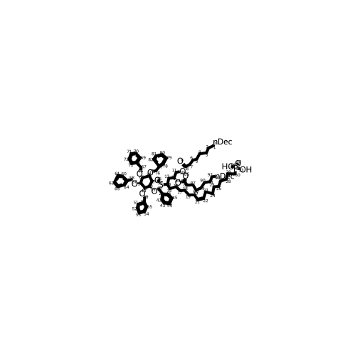 CCCCCCCCCCCCCCCCCC(=O)OCC(CC(CCCCCC/C=C\CCCCCCCCP(=O)(O)O)SO[C@@H]1[C@@H](OCc2ccccc2)[C@H](OCc2ccccc2)[C@@H](OCc2ccccc2)[C@H](OCc2ccccc2)[C@@H]1OCc1ccccc1)OC(=O)CCCCCCCCCCCCCCCCC